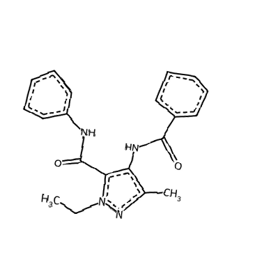 CCn1nc(C)c(NC(=O)c2ccccc2)c1C(=O)Nc1ccccc1